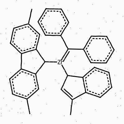 CC1=C[CH]([Zr](=[C](c2ccccc2)c2ccccc2)[CH]2c3cc(C)ccc3-c3ccc(C)cc32)c2ccccc21